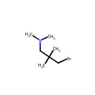 CC(C)CC(C)(C)CN(C)C